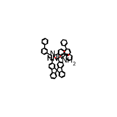 N=C(/N=C(\N)c1cccc(C2=CCCC=C2)c1)c1ccc2c(c1)C1(c3ccccc3-2)c2ccccc2-c2ccc(-c3nc(-c4cccc(-c5ccccc5)c4)nc(-c4cccc(-c5ccccc5)c4)n3)cc21